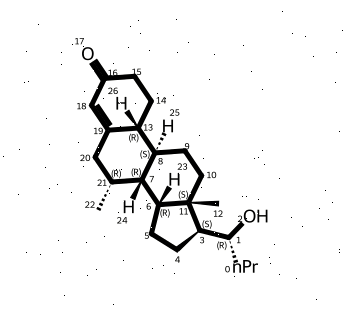 CCC[C@@H](O)[C@H]1CC[C@@H]2[C@H]3[C@H](CC[C@@]21C)[C@H]1CCC(=O)C=C1C[C@H]3C